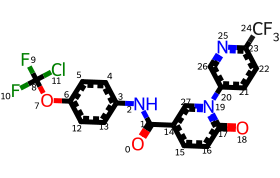 O=C(Nc1ccc(OC(F)(F)Cl)cc1)c1ccc(=O)n(-c2ccc(C(F)(F)F)nc2)c1